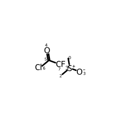 C[S+](C)[O-].O=C(Cl)C(F)(F)F